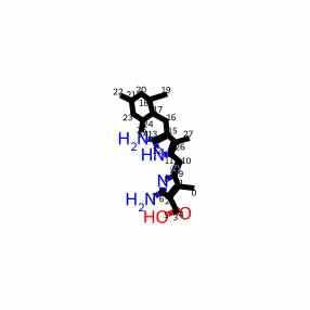 CC1=C(C(=O)O)C(N)=N/C1=C\c1[nH]c(N)c(CC2C(C)CC(C)CC2C)c1C